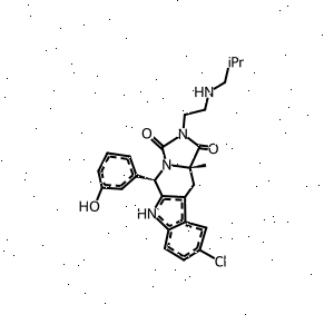 CC(C)CNCCN1C(=O)N2[C@H](c3cccc(O)c3)c3[nH]c4ccc(Cl)cc4c3C[C@@]2(C)C1=O